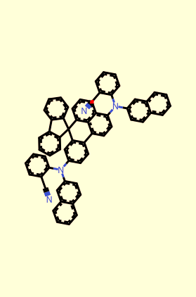 N#Cc1ccccc1N(c1ccc2c(c1)C1(c3ccccc3-c3ccccc31)c1cccc3c(N(c4ccc5ccccc5c4)c4ccccc4C#N)ccc-2c13)c1ccc2ccccc2c1